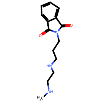 CNCCNCCCN1C(=O)c2ccccc2C1=O